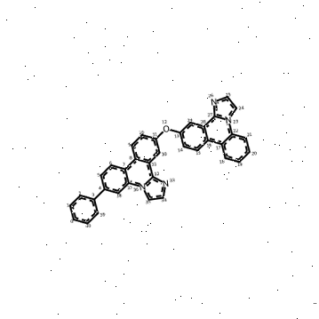 c1ccc(-c2ccc3c4ccc(Oc5ccc6c7ccccc7n7ccnc7c6c5)cc4c4nccn4c3c2)cc1